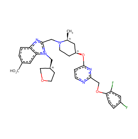 C[C@H]1C[C@@H](Oc2ccnc(COc3ccc(F)cc3F)n2)CCN1Cc1nc2ccc(C(=O)O)cc2n1C[C@H]1CCOC1